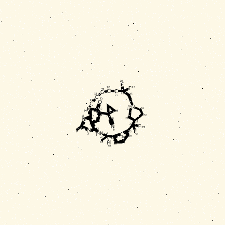 Cc1nc2c3cc(C4(C#N)CC4)c(=O)n(c3n1)CCOCCC(F)(F)CN1CCC(CC1)C(F)(F)c1cccc(c1)[C@@H](C)N2